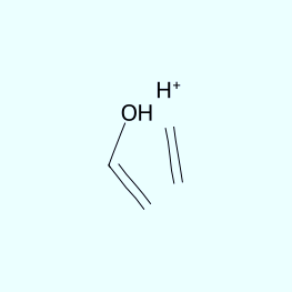 C=C.C=CO.[H+]